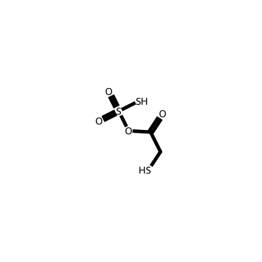 O=C(CS)OS(=O)(=O)S